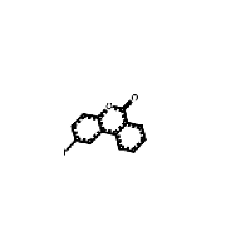 O=c1oc2ccc(I)cc2c2ccccc12